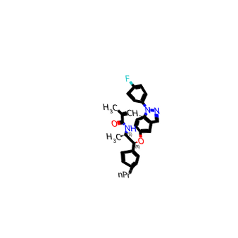 C=C(C)C(=O)N[C@@H](C)[C@H](Oc1ccc2c(cnn2-c2ccc(F)cc2)c1)c1ccc(CCC)cc1